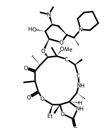 CC[C@H]1OC(=O)C(C)C(=O)[C@H](C)[C@@H](O[C@@H]2O[C@H]([C@@H](C)N3CCCCC3)C[C@H](N(C)C)[C@H]2O)[C@](C)(OC)C[C@@H](C)CN[C@H](C)[C@H]2NC(=O)O[C@@]21C